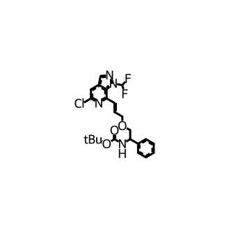 CC(C)(C)OC(=O)NC(COC/C=C/c1nc(Cl)cc2cnn(C(F)F)c12)c1ccccc1